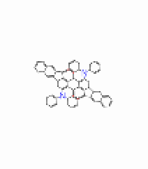 c1ccc(N(c2ccccc2)c2cc3c4c(ccc5c6c(N(c7ccccc7)c7ccccc7)cc7c8c(ccc(c2c45)c86)-c2cc4ccccc4cc2-7)-c2cc4ccccc4cc2-3)cc1